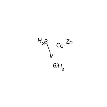 [BH2][V].[BiH3].[Co].[Zn]